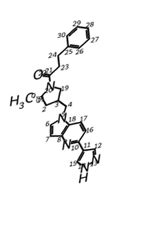 C[C@H]1CC(Cn2ccc3nc(-c4cn[nH]c4)ccc32)CN1C(=O)CCc1ccccc1